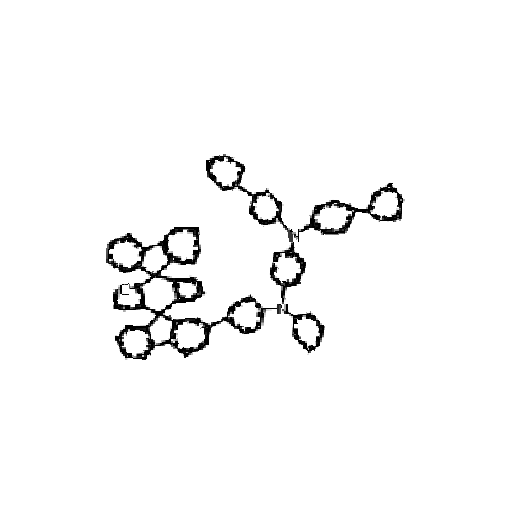 c1ccc(-c2ccc(N(c3ccc(-c4ccccc4)cc3)c3ccc(N(c4ccccc4)c4ccc(-c5ccc6c(c5)C5(c7ccccc7-6)c6ccccc6C6(c7ccccc7-c7ccccc76)c6ccccc65)cc4)cc3)cc2)cc1